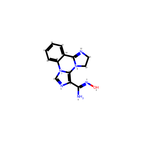 NC(=NO)c1ncn2c1N1CCN=C1c1ccccc1-2